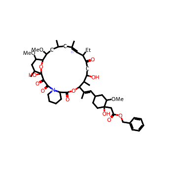 CCC1/C=C(\C)CC(C)CC(OC)C2OC(O)(C(=O)C(=O)N3CCCCC3C(=O)OC(C(C)=CC3CCC(O)(CC(=O)OCc4ccccc4)C(OC)C3)C(C)C(O)CC1=O)C(C)CC2OC